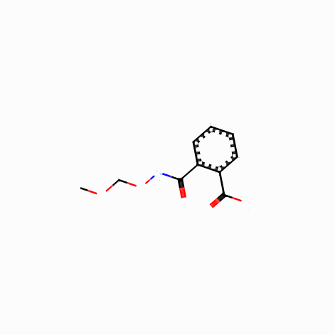 COCONC(=O)c1ccccc1C(=O)O